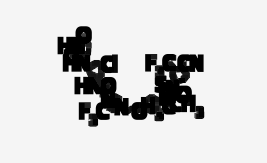 CC1(C)C(=O)N(c2ccc(C#N)c(C(F)(F)F)c2)C(=S)N1C1CCC(OCCN2CCN(CC(=O)Nc3cc(Cl)cc(NC4CCC(=O)NC4=O)c3)C(C(F)(F)F)C2)CC1